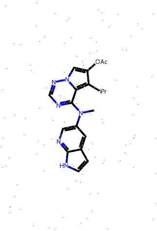 CC(=O)Oc1cn2ncnc(N(C)c3cnc4[nH]ccc4c3)c2c1C(C)C